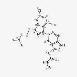 CC(C)NC(=O)Oc1c[nH]c2ncc(-c3nn(CCCN(C)C)c4cc(Cl)cc(F)c34)nc12